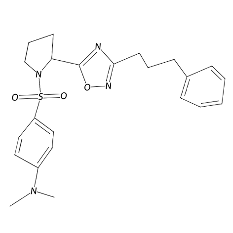 CN(C)c1ccc(S(=O)(=O)N2CCCC2c2nc(CCCc3ccccc3)no2)cc1